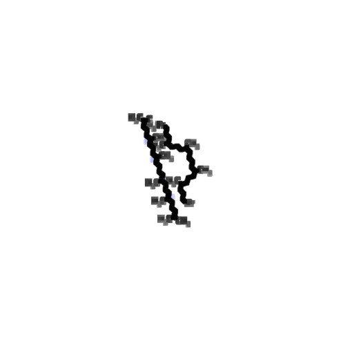 CC(C)=CCC/C(C)=C/CC/C(C)=C/CC/C=C(\C)CC/C=C(\C)CCC=C(C)C.CC(C)CCCC(C)CCCC(C)CCCCC(C)CCCC(C)CCCC(C)C